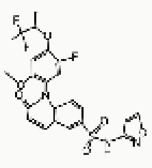 COc1cc(O[C@H](C)C(F)(F)F)c(F)cc1-n1c(=O)ccc2cc(S(=O)(=O)Nc3ccon3)ccc21